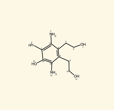 CCCc1c(N)c(CCO)c(CCO)c(N)c1O